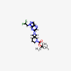 CC(C)(C)OC(=O)N1CCCC2(C1)CN(c1cnc3cnn(CC(F)F)c3n1)C2